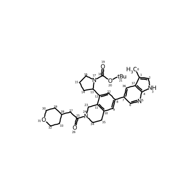 Cc1c[nH]c2ncc(-c3cc4c(c(C5CCCN5C(=O)OC(C)(C)C)c3)CN(C(=O)CC3CCOCC3)CC4)cc12